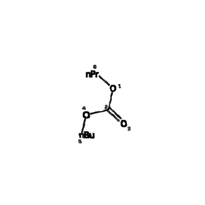 [CH2]CCOC(=O)OCCCC